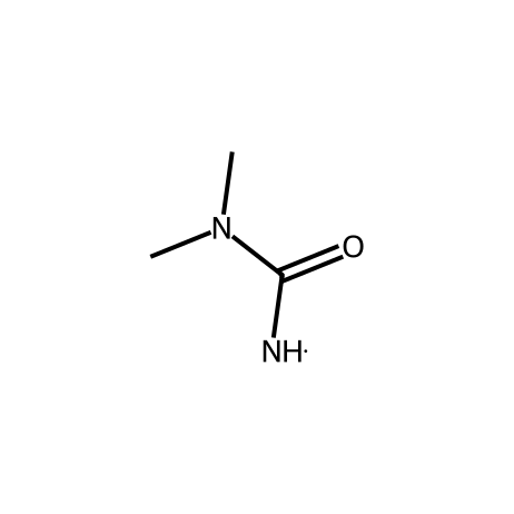 CN(C)C([NH])=O